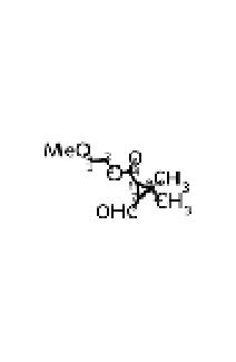 COCCOC(=O)C1C(C=O)C1(C)C